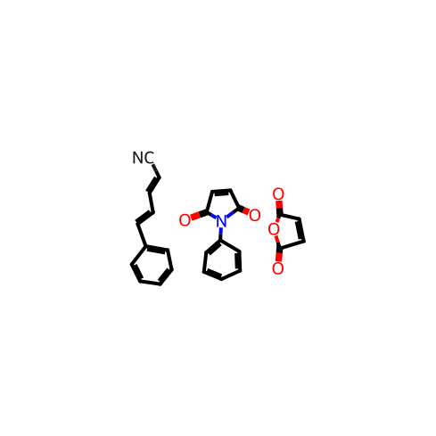 N#CC=CC=Cc1ccccc1.O=C1C=CC(=O)N1c1ccccc1.O=C1C=CC(=O)O1